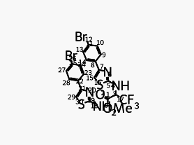 COC(=O)C(Nc1nc(-c2ccc(Br)cc2)cs1)C(F)(F)F.Nc1nc(-c2ccc(Br)cc2)cs1